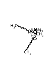 CCCCCCCCCCOOC(=S)NCC1(C)CC(NC(=S)OCCCCCCCCCC)CC(C)(C)C1